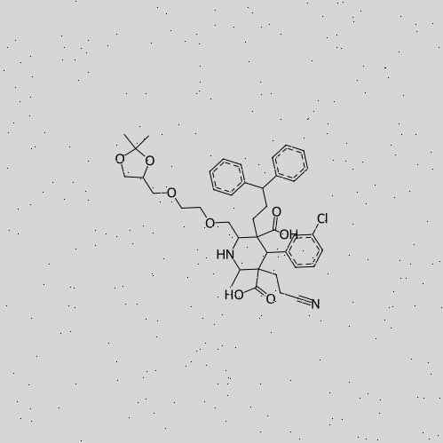 CC1NC(COCCOCC2COC(C)(C)O2)C(CCC(c2ccccc2)c2ccccc2)(C(=O)O)C(c2cccc(Cl)c2)C1(CCC#N)C(=O)O